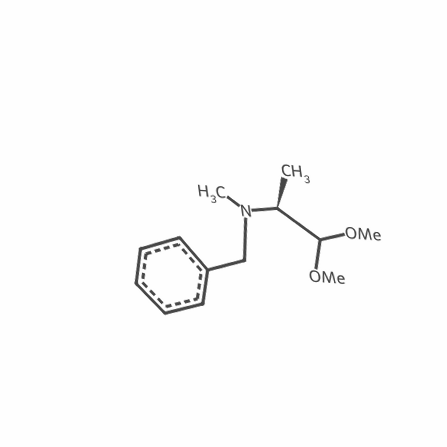 COC(OC)[C@H](C)N(C)Cc1ccccc1